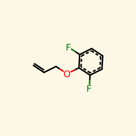 C=CCOc1c(F)cccc1F